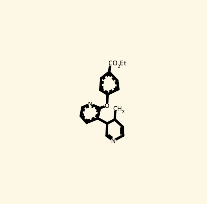 CCOC(=O)c1ccc(Oc2ncccc2C2C=NC=CC2C)cc1